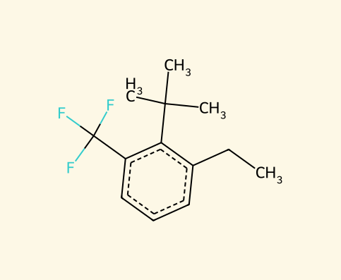 CCc1cccc(C(F)(F)F)c1C(C)(C)C